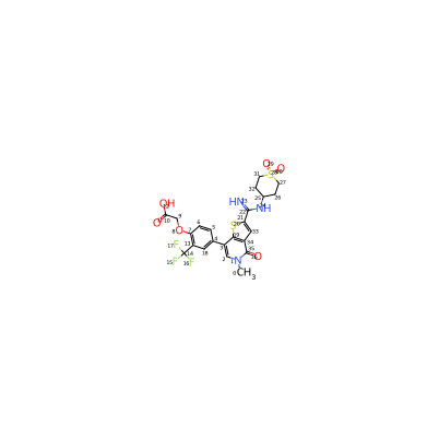 Cn1cc(-c2ccc(OCC(=O)O)c(C(F)(F)F)c2)c2sc(C(=N)NC3CCS(=O)(=O)CC3)cc2c1=O